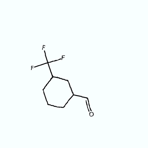 O=CC1CCCC(C(F)(F)F)C1